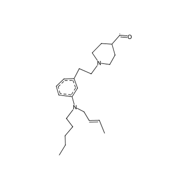 C/C=C/CN(CCCCC)c1cccc(CCN2CCC([C]=O)CC2)c1